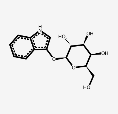 OC[C@H]1O[C@@H](Oc2c[nH]c3ccccc23)[C@H](O)[C@@H](O)[C@H]1O